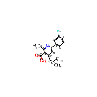 Cc1nc(-c2cccc(F)c2)cc(CC(C)C)c1C(=O)O